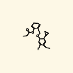 CCC(=O)Oc1ccccc1COc1cc(F)c(CC)cc1C1CC1